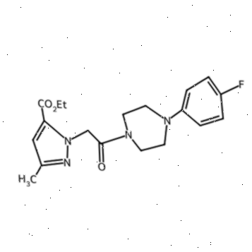 CCOC(=O)c1cc(C)nn1CC(=O)N1CCN(c2ccc(F)cc2)CC1